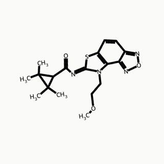 COCCn1c(=NC(=O)C2C(C)(C)C2(C)C)sc2ccc3nonc3c21